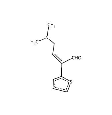 CN(C)CC=C(C=O)c1cccs1